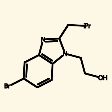 CC(C)Cc1nc2cc(Br)ccc2n1CCO